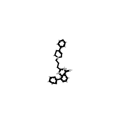 O=c1[nH]c(CCCN2CC=C(c3ccccc3)CC2)nc2c(-c3ccccc3)cccc12